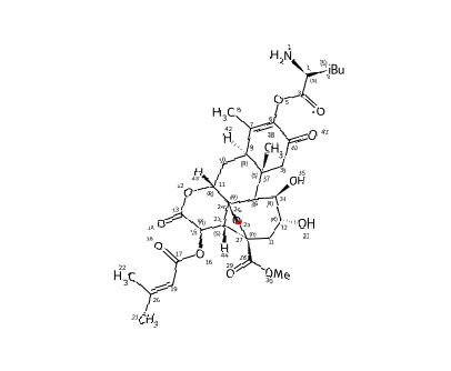 CC[C@H](C)[C@H](N)C(=O)OC1=C(C)[C@@H]2C[C@H]3OC(=O)[C@H](OC(=O)C=C(C)C)[C@@H]4[C@]35CO[C@]4(C(=O)OC)C[C@@H](O)[C@H](O)C5[C@@]2(C)CC1=O